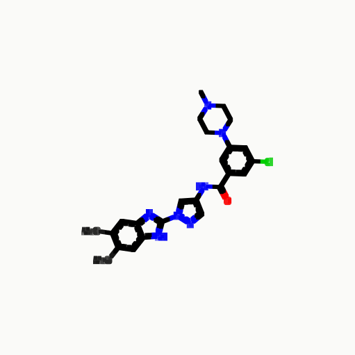 COc1cc2nc(-n3cc(NC(=O)c4cc(Cl)cc(N5CCN(C)CC5)c4)cn3)[nH]c2cc1OC